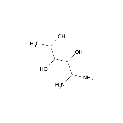 CC(O)C(O)C(O)C(N)N